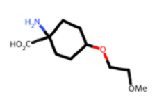 COCCOC1CCC(N)(C(=O)O)CC1